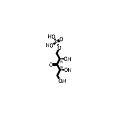 O=C([C@H](O)COP(=O)(O)O)[C@@H](O)CO